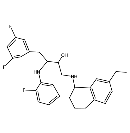 CCc1ccc2c(c1)C(NCC(O)C(Cc1cc(F)cc(F)c1)Nc1ccccc1F)CCC2